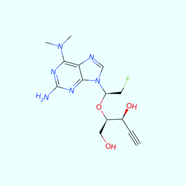 C#C[C@H](O)[C@@H](CO)O[C@H](CF)n1cnc2c(N(C)C)nc(N)nc21